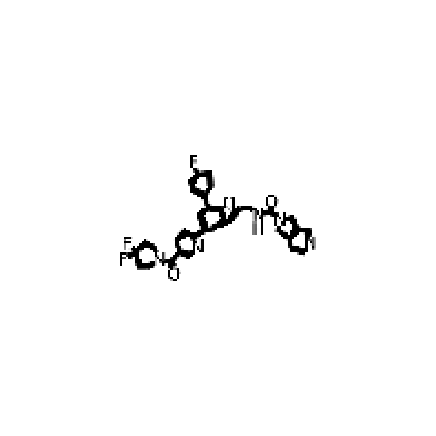 O=C(NCc1cc2cc(-c3ccc(C(=O)N4CCC(F)(F)CC4)cn3)cc(-c3ccc(F)cc3)c2o1)N1Cc2ccncc2C1